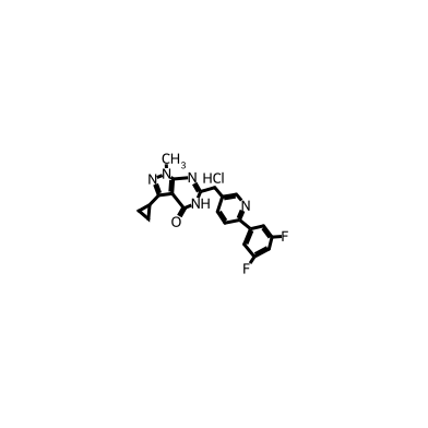 Cl.Cn1nc(C2CC2)c2c(=O)[nH]c(Cc3ccc(-c4cc(F)cc(F)c4)nc3)nc21